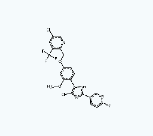 COc1cc(OCc2ncc(Cl)cc2C(F)(F)F)ccc1-c1[nH]c(-c2ccc(F)nc2)nc1Cl